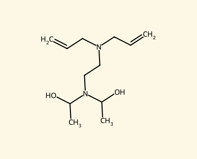 C=CCN(CC=C)CCN(C(C)O)C(C)O